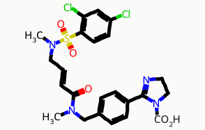 CN(Cc1ccc(C2=NCCN2C(=O)O)cc1)C(=O)/C=C/CN(C)S(=O)(=O)c1ccc(Cl)cc1Cl